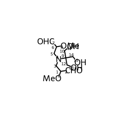 COC(C=O)CN(CC(C=O)OC)C(CO)(CO)CO